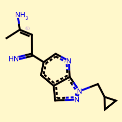 C/C(N)=C\C(=N)c1cnc2c(cnn2CC2CC2)c1